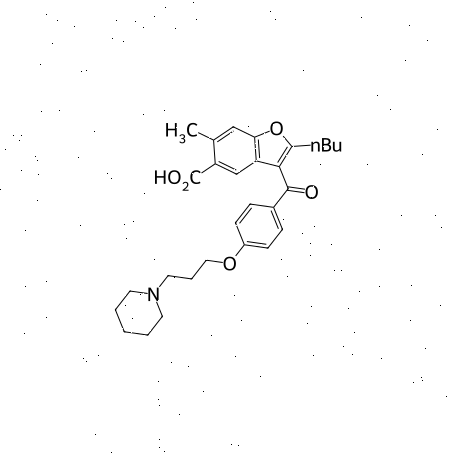 CCCCc1oc2cc(C)c(C(=O)O)cc2c1C(=O)c1ccc(OCCCN2CCCCC2)cc1